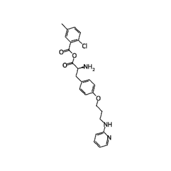 Cc1ccc(Cl)c(C(=O)OC(=O)[C@@H](N)Cc2ccc(OCCCNc3ccccn3)cc2)c1